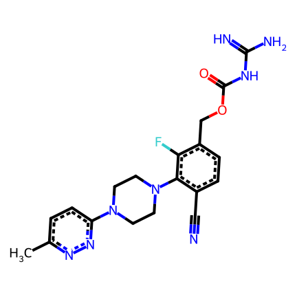 Cc1ccc(N2CCN(c3c(C#N)ccc(COC(=O)NC(=N)N)c3F)CC2)nn1